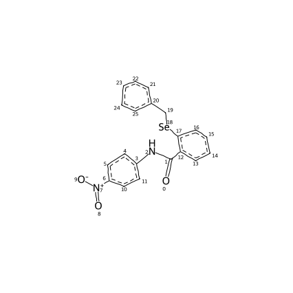 O=C(Nc1ccc([N+](=O)[O-])cc1)c1ccccc1[Se]Cc1ccccc1